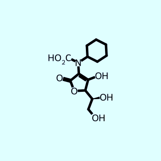 O=C1OC([C@@H](O)CO)C(O)=C1N(C(=O)O)C1CCCCC1